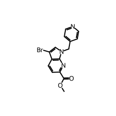 COC(=O)c1ccc2c(Br)cn(Cc3ccncc3)c2n1